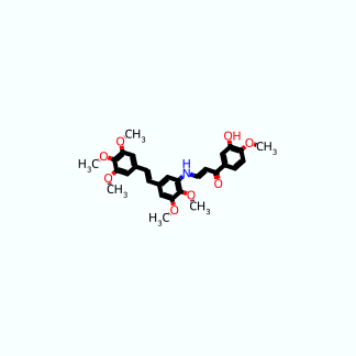 COc1ccc(C(=O)C=CNc2cc(C=Cc3cc(OC)c(OC)c(OC)c3)cc(OC)c2OC)cc1O